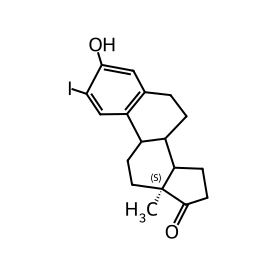 C[C@]12CCC3c4cc(I)c(O)cc4CCC3C1CCC2=O